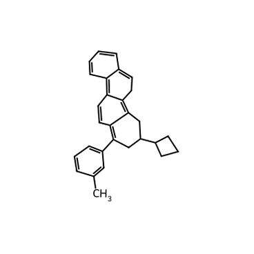 Cc1cccc(C2=c3ccc4c(c3CC(C3CCC3)C2)CC=c2ccccc2=4)c1